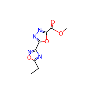 CCc1nc(-c2nnc(C(=O)OC)o2)no1